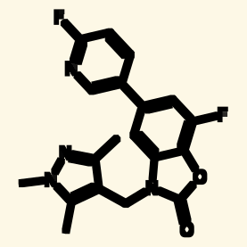 Cc1nn(C)c(C)c1Cn1c(=O)oc2c(F)cc(-c3ccc(F)nc3)cc21